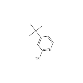 CC(C)(C)c1cc(C(C)(C)I)ccn1